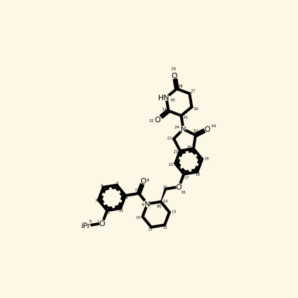 CC(C)Oc1cccc(C(=O)N2CCCC[C@@H]2COc2ccc3c(c2)CN(C2CCC(=O)NC2=O)C3=O)c1